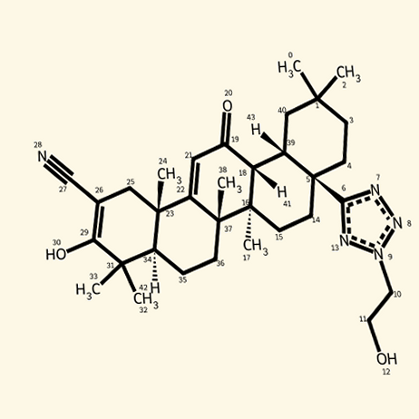 CC1(C)CC[C@]2(c3nnn(CCO)n3)CC[C@]3(C)[C@H](C(=O)C=C4[C@@]5(C)CC(C#N)=C(O)C(C)(C)[C@@H]5CC[C@]43C)[C@@H]2C1